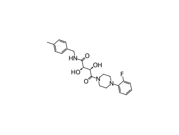 Cc1ccc(CNC(=O)[C@H](O)[C@@H](O)C(=O)N2CCN(c3ccccc3F)CC2)cc1